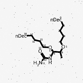 CCCCCCCCCCCCCCOC(C)C(NC(N)=O)OCCCCCCCCCCCCCC